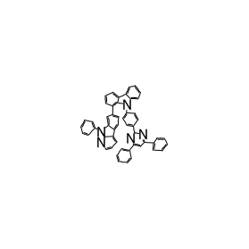 c1ccc(-c2cc(-c3ccccc3)nc(-c3ccc(-n4c5ccccc5c5cccc(-c6ccc7c8cccnc8n(-c8ccccc8)c7c6)c54)cc3)n2)cc1